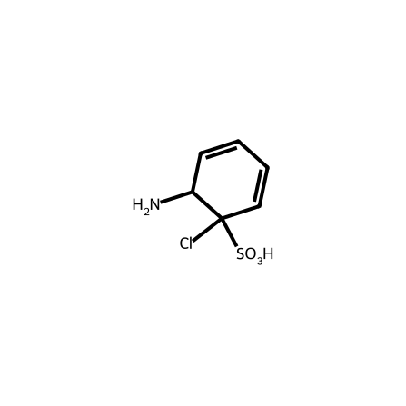 NC1C=CC=CC1(Cl)S(=O)(=O)O